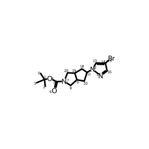 CC(C)(C)OC(=O)N1CC2CC(n3cc(Br)cn3)CC2C1